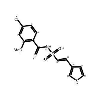 COc1cc(Cl)ccc1C(=O)NS(=O)(=O)/C=C/c1ccsc1